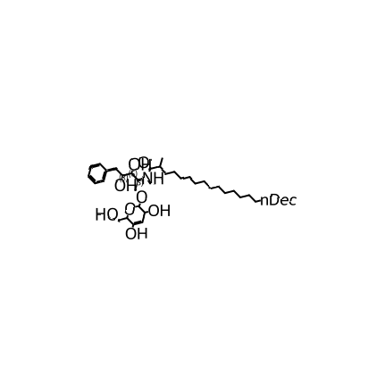 CCCCCCCCCCCCCCCCCCCCCCCC(C)C(=O)N[C@@H](COC1OC(CO)C(O)=CC1O)[C@H](O)[C@H](O)Cc1ccccc1